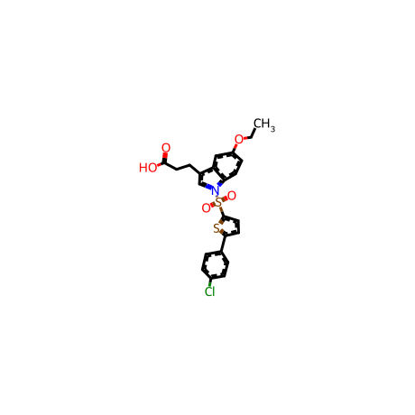 CCOc1ccc2c(c1)c(CCC(=O)O)cn2S(=O)(=O)c1ccc(-c2ccc(Cl)cc2)s1